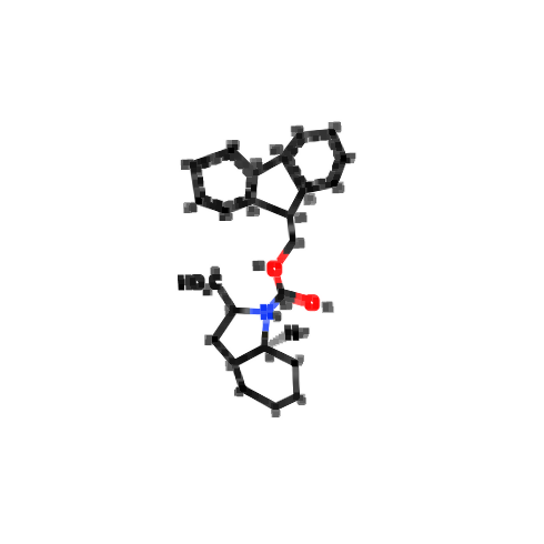 O=C(O)C1CC2CCCC[C@@H]2N1C(=O)OCC1c2ccccc2-c2ccccc21